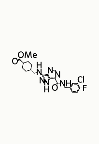 COC(=O)[C@H]1CC[C@H](CNc2n[nH]c3c(C(=O)NCc4ccc(F)c(Cl)c4)ncnc23)CC1